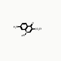 CCCn1cc(C(=O)OCC)c(=O)c2ccc(N)cc21